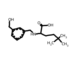 CC(C)(C)CCC(NCc1cccc(CO)c1)C(=O)O